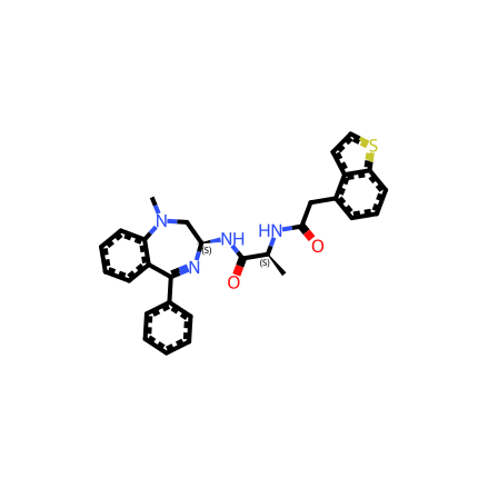 C[C@H](NC(=O)Cc1cccc2sccc12)C(=O)N[C@@H]1CN(C)c2ccccc2C(c2ccccc2)=N1